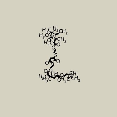 CCCN(C(=O)N(C)C(C)C)C(C)C(C)C(=O)OCCSC1CC(=O)N(CCOC(=O)C(C)C(C)(C)CCC(=O)OCC[N+](C)(C)C)C1=O